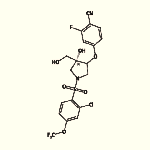 N#Cc1ccc(OC2CN(S(=O)(=O)c3ccc(OC(F)(F)F)cc3Cl)C[C@@]2(O)CO)cc1F